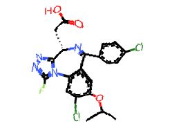 CC(C)Oc1cc2c(cc1Cl)-n1c(F)nnc1[C@H](CC(=O)O)N=C2c1ccc(Cl)cc1